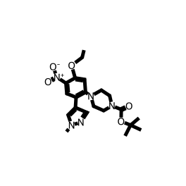 CCOc1cc(N2CCN(C(=O)OC(C)(C)C)CC2)c(-c2cnn(C)c2)cc1[N+](=O)[O-]